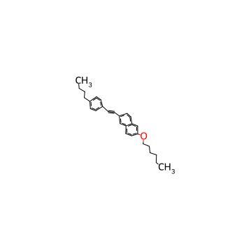 CCCCCCOc1ccc2cc(C#Cc3ccc(CCCC)cc3)ccc2c1